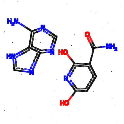 NC(=O)c1ccc(O)nc1O.Nc1ncnc2nc[nH]c12